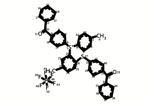 Cc1ccc([S+](c2ccc(C(=O)c3ccccc3)cc2)c2cc(C)ccc2Sc2ccc(C(=O)c3ccccc3)cc2)cc1.F[P-](F)(F)(F)(F)F